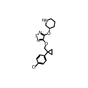 Clc1ccc(C2(COc3nsnc3O[C@@H]3CCCNC3)CC2)cc1